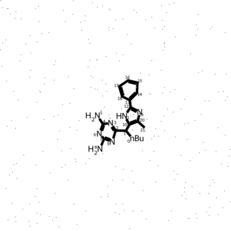 CCCCC(c1nc(N)nc(N)n1)c1[nH]c(-c2ccccc2)nc1C